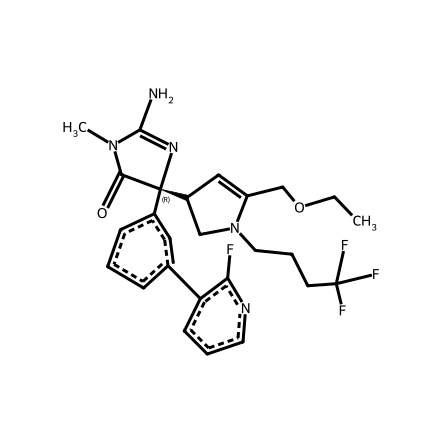 CCOCC1=CC([C@]2(c3cccc(-c4cccnc4F)c3)N=C(N)N(C)C2=O)CN1CCCC(F)(F)F